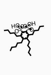 CCCCCc1c(CCCCC)c(CCCCC)c(S(=O)(=O)O)c(S(=O)(=O)O)c1CCCCC